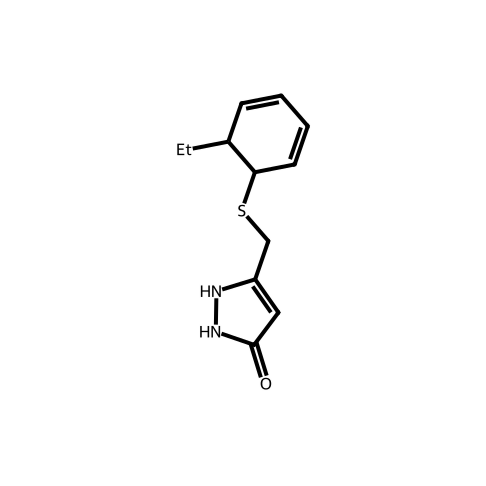 CCC1C=CC=CC1SCc1cc(=O)[nH][nH]1